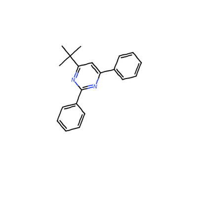 CC(C)(C)c1cc(-c2ccccc2)nc(-c2ccccc2)n1